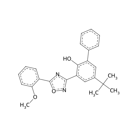 COc1ccccc1-c1nc(-c2cc(C(C)(C)C)cc(-c3ccccc3)c2O)no1